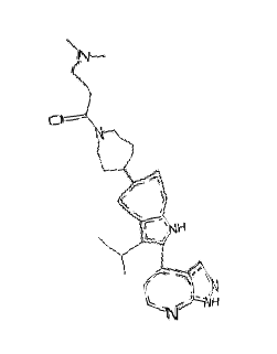 CC(C)c1c(-c2ccnc3[nH]ncc23)[nH]c2ccc(C3CCN(C(=O)CCN(C)C)CC3)cc12